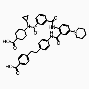 O=C(O)c1ccc(CCc2ccc(NC(=O)c3cc(N4CCCCC4)ccc3NC(=O)c3cccc([S+]([O-])N(C4CCC(C(=O)O)CC4)C4CC4)c3)cc2)cc1